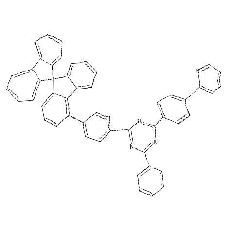 c1ccc(-c2nc(-c3ccc(-c4ccccn4)cc3)nc(-c3ccc(-c4cccc5c4-c4ccccc4C54c5ccccc5-c5ccccc54)cc3)n2)cc1